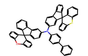 c1ccc(-c2ccc(N(c3ccc4c(c3)-c3ccccc3C43c4ccccc4Oc4ccccc43)c3ccc4c(c3)C3(c5ccccc5Sc5ccccc53)c3ccccc3-4)cc2)cc1